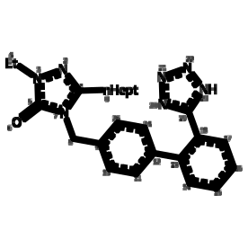 CCCCCCCc1nn(CC)c(=O)n1Cc1ccc(-c2ccccc2-c2nnn[nH]2)cc1